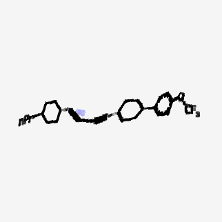 CCC[C@H]1CC[C@H](/C=C/C#C[C@H]2CC[C@H](c3ccc(OC(F)(F)F)cc3)CC2)CC1